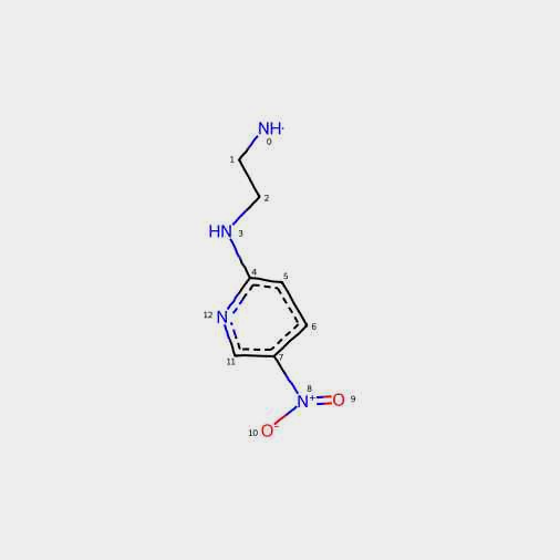 [NH]CCNc1ccc([N+](=O)[O-])cn1